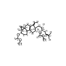 CCOC(C)O[C@H]1CC[C@]2(C)C3=C(CC[C@H]2C1(C)C)C1=CC[C@H]([C@H](C)[C@@H](CC=C(C)C)OC(C)OCC)[C@@]1(C)CC3